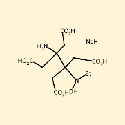 CCN(O)C(CC(=O)O)(CC(=O)O)C(N)(CC(=O)O)CC(=O)O.[NaH]